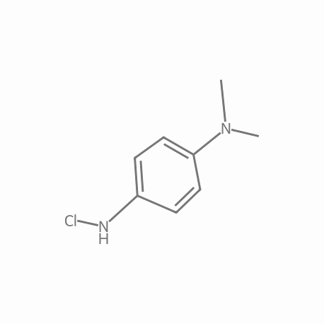 CN(C)c1ccc(NCl)cc1